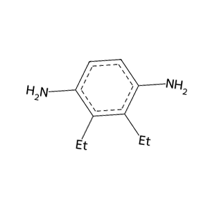 CCc1c(N)ccc(N)c1CC